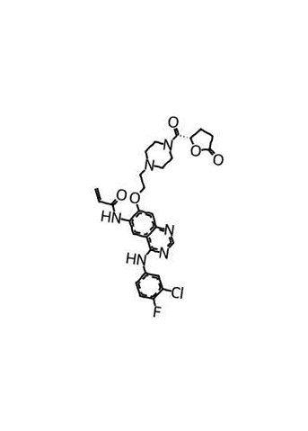 C=CC(=O)Nc1cc2c(Nc3ccc(F)c(Cl)c3)ncnc2cc1OCCN1CCN(C(=O)[C@@H]2CCC(=O)O2)CC1